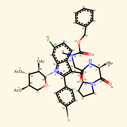 CC(=O)O[C@@H]1[C@@H](OC(C)=O)[C@H](OC(C)=O)CO[C@H]1n1c(-c2ccc(F)cc2)c(C[C@@H]2CCCN2C(=O)[C@@H](NC(=O)[C@H](C)N(C)C(=O)OCc2ccccc2)C(C)(C)C)c2ccc(F)cc21